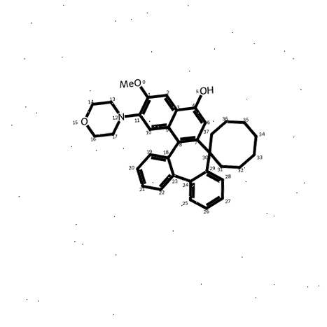 COc1cc2c(O)cc3c(c2cc1N1CCOCC1)-c1ccccc1-c1ccccc1C31CCCCCCC1